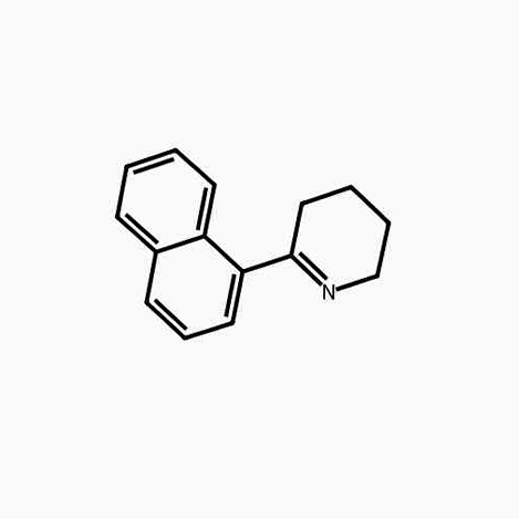 c1ccc2c(C3=NCCCC3)cccc2c1